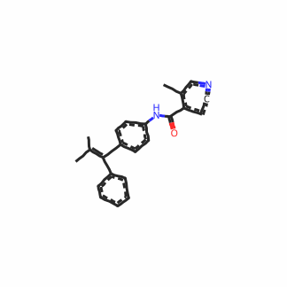 CC(C)=C(c1ccccc1)c1ccc(NC(=O)c2ccncc2C)cc1